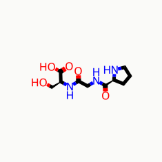 O=C(CNC(=O)[C@@H]1CCCN1)N[C@@H](CO)C(=O)O